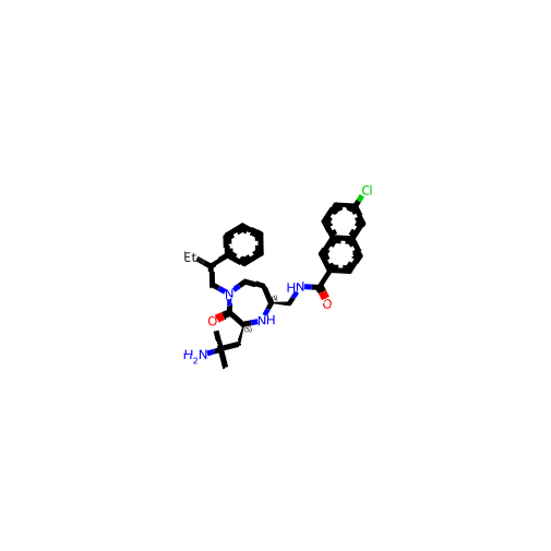 CCC(CN1CC[C@@H](CNC(=O)c2ccc3cc(Cl)ccc3c2)N[C@@H](CC(C)(C)N)C1=O)c1ccccc1